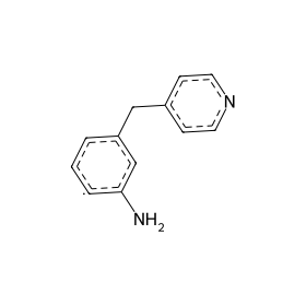 Nc1[c]ccc(Cc2ccncc2)c1